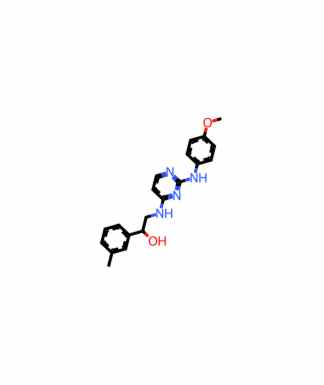 COc1ccc(Nc2nccc(NCC(O)c3cccc(C)c3)n2)cc1